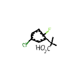 CC(C)(C(=O)O)c1cc(Cl)ccc1F